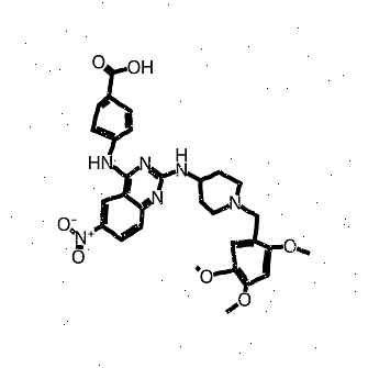 COc1cc(OC)c(OC)cc1CN1CCC(Nc2nc(Nc3ccc(C(=O)O)cc3)c3cc([N+](=O)[O-])ccc3n2)CC1